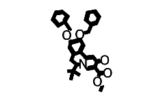 CCOC(=O)c1cn2c(cc1=O)-c1cc(OCc3ccccc3)c(OCc3ccccc3)cc1CC2C(C)(C)C